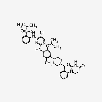 Cc1cc(Nc2ncc(Cl)c(Nc3ccccc3S(=O)(=O)C(C)C)n2)c(OC(C)C)cc1C1CCN(Cc2ccccc2N2CCC(=O)NC2=O)CC1